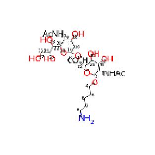 CC(=O)N[C@H]1[C@H](OCCCCCN)O[C@H](CO[C@]2(C(=O)O)C[C@H](O)[C@@H](NC(C)=O)[C@H]([C@H](O)[C@H](O)CO)O2)[C@@H](O)[C@@H]1O